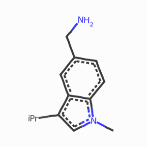 CC(C)c1cn(C)c2ccc(CN)cc12